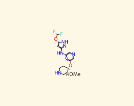 CO[C@@H]1CNCC[C@@H]1Oc1cncc(Nc2cc(OC(F)F)[nH]n2)n1